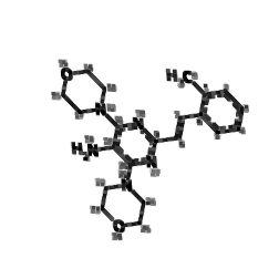 Cc1ccccc1/C=C/c1nc(N2CCOCC2)c(N)c(N2CCOCC2)n1